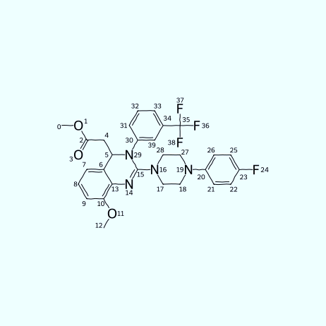 COC(=O)CC1c2cccc(OC)c2N=C(N2CCN(c3ccc(F)cc3)CC2)N1c1cccc(C(F)(F)F)c1